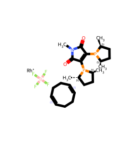 C1=C\CC/C=C\CC/1.C[C@H]1CC[C@H](C)P1C1=C(P2[C@@H](C)CC[C@@H]2C)C(=O)N(C)C1=O.F[B-](F)(F)F.[Rh+]